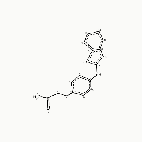 CC(=O)CCc1ccc(Nc2nc3ccccc3s2)cc1